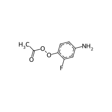 CC(=O)OOc1ccc(N)cc1F